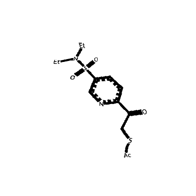 CCN(CC)S(=O)(=O)c1ccc(C(=O)CSC(C)=O)nc1